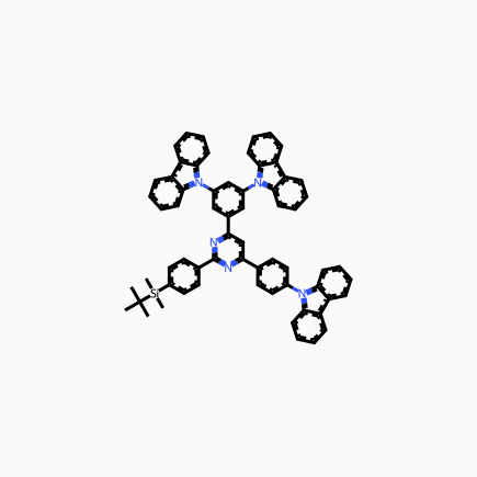 CC(C)(C)[Si](C)(C)c1ccc(-c2nc(-c3ccc(-n4c5ccccc5c5ccccc54)cc3)cc(-c3cc(-n4c5ccccc5c5ccccc54)cc(-n4c5ccccc5c5ccccc54)c3)n2)cc1